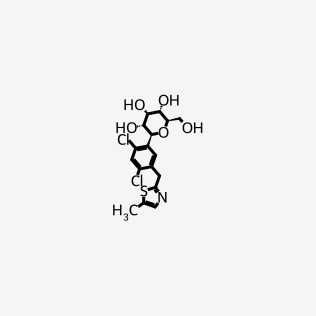 Cc1cnc(Cc2cc([C@@H]3O[C@H](CO)[C@@H](O)[C@H](O)[C@H]3O)c(Cl)cc2Cl)s1